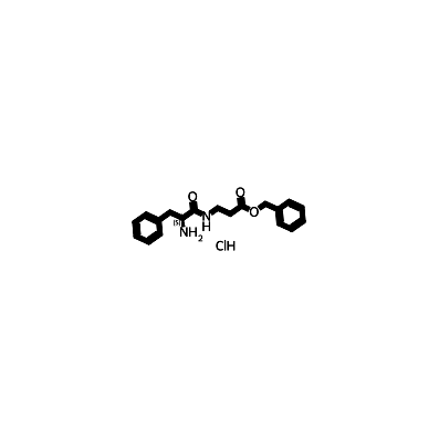 Cl.N[C@@H](Cc1ccccc1)C(=O)NCCC(=O)OCc1ccccc1